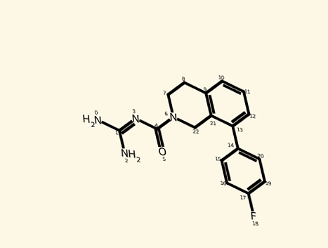 NC(N)=NC(=O)N1CCc2cccc(-c3ccc(F)cc3)c2C1